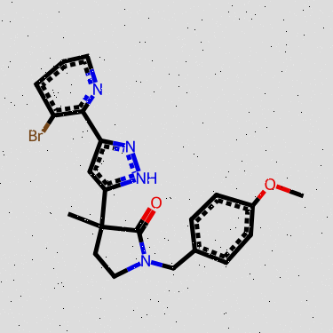 COc1ccc(CN2CCC(C)(c3cc(-c4ncccc4Br)n[nH]3)C2=O)cc1